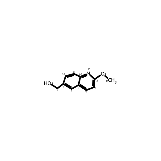 COc1ccc2cc(CO)ccc2n1